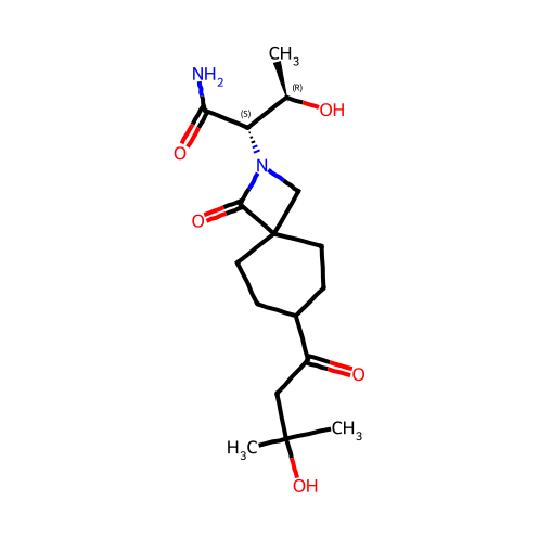 C[C@@H](O)[C@@H](C(N)=O)N1CC2(CCC(C(=O)CC(C)(C)O)CC2)C1=O